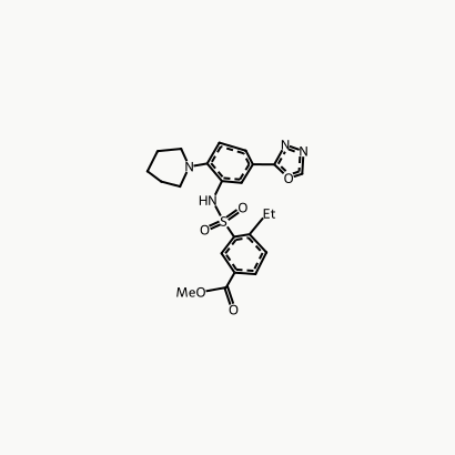 CCc1ccc(C(=O)OC)cc1S(=O)(=O)Nc1cc(-c2nnco2)ccc1N1CCCCC1